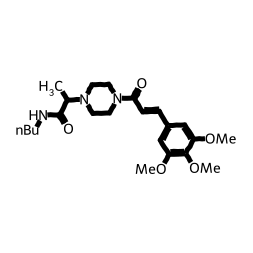 CCCCNC(=O)C(C)N1CCN(C(=O)/C=C/c2cc(OC)c(OC)c(OC)c2)CC1